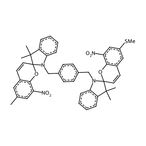 CSc1cc2c(c([N+](=O)[O-])c1)OC1(C=C2)N(Cc2ccc(CN3c4ccccc4C(C)(C)C34C=Cc3cc(C)cc([N+](=O)[O-])c3O4)cc2)c2ccccc2C1(C)C